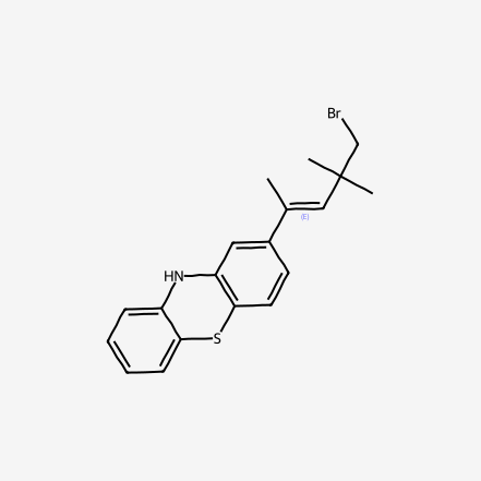 C/C(=C\C(C)(C)CBr)c1ccc2c(c1)Nc1ccccc1S2